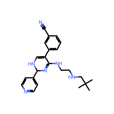 CC(C)(C)CNCCNC1=NC(c2ccncc2)NC=C1c1cccc(C#N)c1